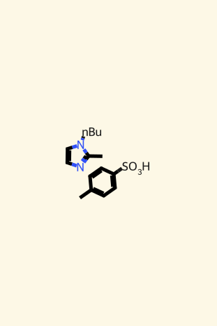 CCCCn1ccnc1C.Cc1ccc(S(=O)(=O)O)cc1